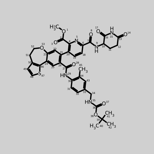 COC(=O)c1nc(C(=O)NC2CCC(=O)NC2=O)ccc1-c1cc2c(cc1C(=O)Nc1ccc(CNC(=O)OC(C)(C)C)cc1C)-c1sccc1CCO2